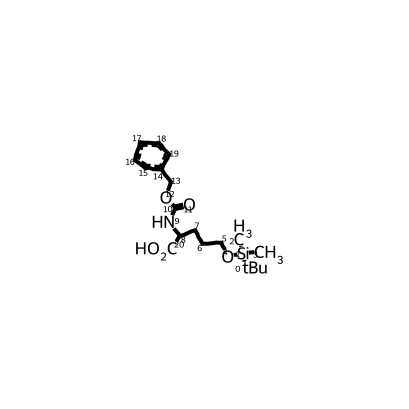 CC(C)(C)[Si](C)(C)OCCCC(NC(=O)OCc1ccccc1)C(=O)O